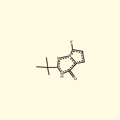 CC(C)(C)c1nn2c(F)ccc2c(=O)[nH]1